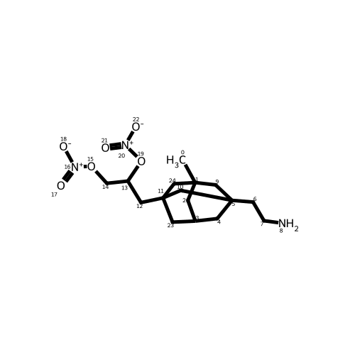 CC12CC3CC(CCN)(C1)CC(CC(CO[N+](=O)[O-])O[N+](=O)[O-])(C3)C2